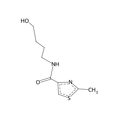 Cc1nc(C(=O)NCCCCO)cs1